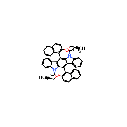 C#CCOc1ccc2c(c1-c1c3c4ccccc4n(CC)c3c(-c3c(OCC#C)ccc4ccccc34)c3c4ccccc4n(CC)c13)C=CCC2